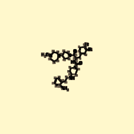 CCc1ccc(C[C@@H](NC(=O)N2CCC(NCCc3ccccc3N)CC2)C(=O)N2CCC(N3CCCN(C)CC3)CC2)cc1CC